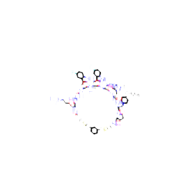 COc1ccc(C[C@@H]2NC(=O)[C@H](Cc3c[nH]cn3)NC(=O)[C@H](CC(=O)O)NC(=O)[C@H](Cc3c[nH]c4ccc(F)cc34)NC(=O)[C@H](Cc3c[nH]c4ccc(F)cc34)NC(=O)CNC(=O)[C@H](CCCCN)NC(=O)CCSCc3cccc(c3)CSCCNC(=O)[C@]3(C)CCCN3C2=O)cc1